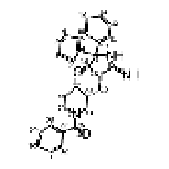 N=C1NC(c2ccccc2)(c2ccccc2)C(=O)N1C[C@H]1CCCN(C(=O)c2ccccc2)C1